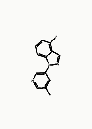 Cc1cncc(-n2ncc3c(F)cccc32)c1